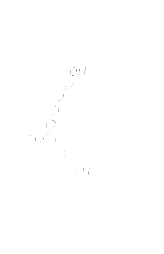 CCCCCCCCCCCC(C)c1ccc(COCCOCCOCCO)cc1